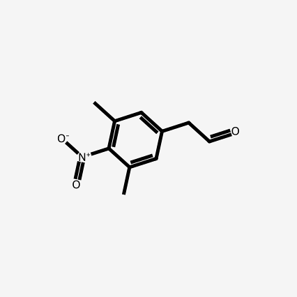 Cc1cc(CC=O)cc(C)c1[N+](=O)[O-]